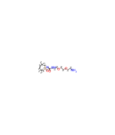 CC1(C)C=CC(C)(C)CS(=O)(=NC(=O)NCCOCCOCCN)C1